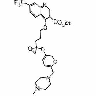 CCOC(=O)c1cnc2cc(C(F)(F)F)ccc2c1OCCCC1(OC2=CC=C(CN3CCN(C)CC3)OC2)CO1